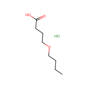 CCCCOCCCC(=O)O.Cl